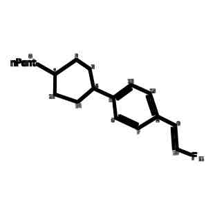 CCCCCC1CCC(c2ccc(C=CF)cc2)CC1